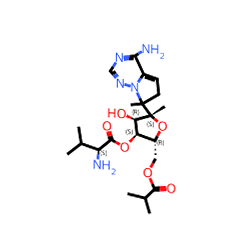 CC(C)C(=O)OC[C@H]1O[C@@](C)(C2(C)CC=C3C(N)=NC=NN32)[C@H](O)[C@@H]1OC(=O)[C@@H](N)C(C)C